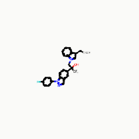 COCc1cn(CC(O)(c2ccc3c(cnn3-c3ccc(F)cc3)c2)C(F)(F)F)c2ccccc12